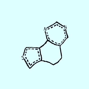 c1ncc2c(n1)-c1cscc1CC2